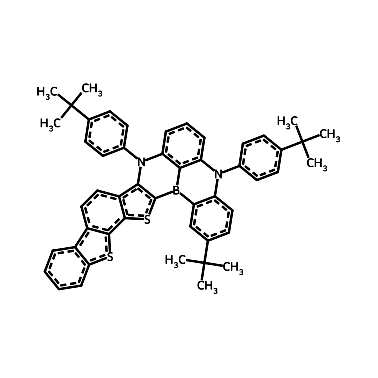 CC(C)(C)c1ccc(N2c3ccc(C(C)(C)C)cc3B3c4sc5c(ccc6c7ccccc7sc65)c4N(c4ccc(C(C)(C)C)cc4)c4cccc2c43)cc1